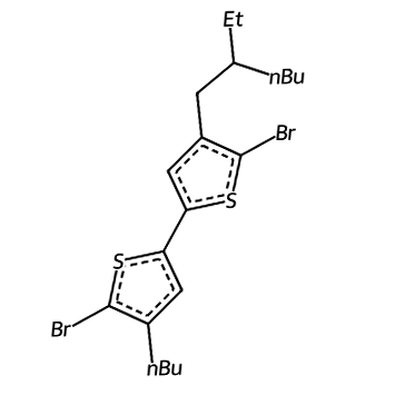 CCCCc1cc(-c2cc(CC(CC)CCCC)c(Br)s2)sc1Br